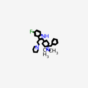 CN(C)C1(Cc2ccccc2)CC=C(c2[nH]c3ccc(F)cc3c2CCN2CCCCC2)CC1